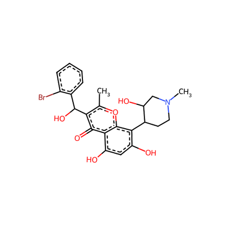 Cc1oc2c(C3CCN(C)CC3O)c(O)cc(O)c2c(=O)c1C(O)c1ccccc1Br